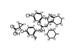 O=C(Nc1ccc(OC2(C(=O)O)CC2)cc1F)[C@H](c1c2c(nn1-c1ccc(Cl)cc1)CCCC2)C1CCCCC1